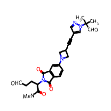 CNC(=O)C(CCC=O)N1C(=O)c2ccc(N3CC(C#Cc4cnn(C(C)(C)C=O)c4)C3)cc2C1=O